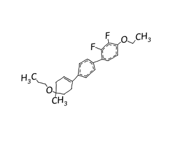 CCCOC1(C)CC=C(c2ccc(-c3ccc(OCC)c(F)c3F)cc2)CC1